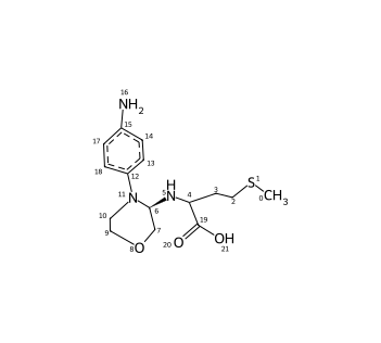 CSCCC(N[C@H]1COCCN1c1ccc(N)cc1)C(=O)O